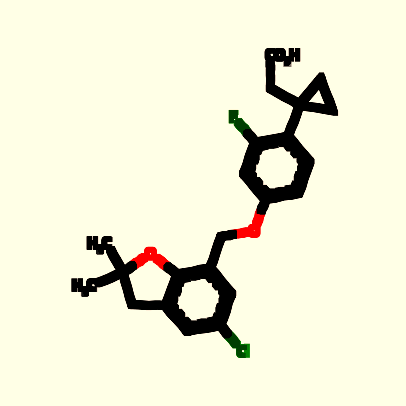 CC1(C)Cc2cc(Cl)cc(COc3ccc(C4(CC(=O)O)CC4)c(F)c3)c2O1